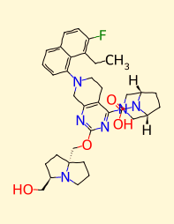 CCc1c(F)ccc2cccc(N3CCc4c(nc(OC[C@]56CCCN5[C@@H](CO)CC6)nc4N4C[C@H]5CC[C@@H](C4)N5C(=O)O)C3)c12